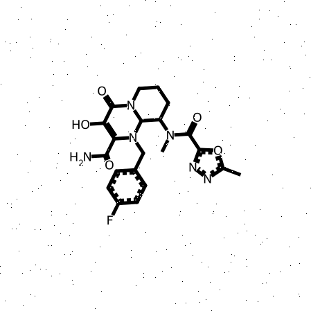 Cc1nnc(C(=O)N(C)C2CCCN3C(=O)C(O)=C(C(N)=O)N(Cc4ccc(F)cc4)C23)o1